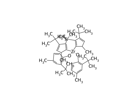 Cc1ccc([O][Zr]2([O]c3ccc(C)cc3C(C)(C)C)[C]3=C(C(C(C)(C)C)=CC3C)[Si](C)(C)C3=[C]2C(C)C=C3C(C)(C)C)c(C(C)(C)C)c1